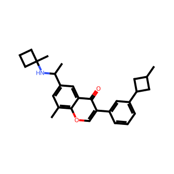 Cc1cc(C(C)NC2(C)CCC2)cc2c(=O)c(-c3cccc(C4CC(C)C4)c3)coc12